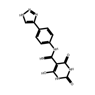 N=C(Nc1ccc(-c2c[nH]nn2)cc1)c1c(O)[nH]c(=O)[nH]c1=O